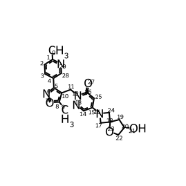 Cc1ccc(-c2noc(C)c2Cn2ncc(N3CC4(C[C@@H](O)CO4)C3)cc2=O)cn1